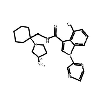 N[C@@H]1CCN(C2(CNC(=O)c3cn(-c4cnccn4)c4cccc(Cl)c34)CCCCC2)C1